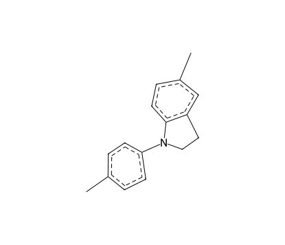 Cc1ccc(N2CCc3cc(C)ccc32)cc1